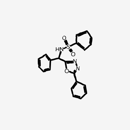 O=S(=O)(NC(c1ccccc1)c1nnc(-c2ccccc2)o1)c1ccccc1